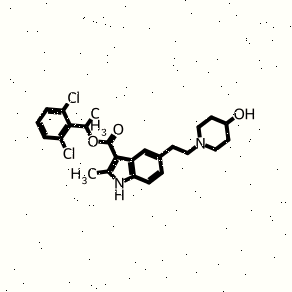 Cc1[nH]c2ccc(CCN3CCC(O)CC3)cc2c1C(=O)OC(C)c1c(Cl)cccc1Cl